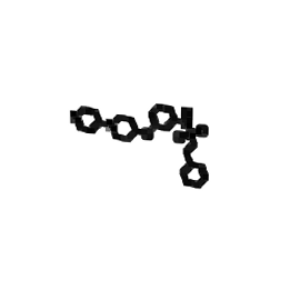 O=S(=O)(/C=C/c1ccccc1)Nc1cccc(OC2CCN(c3ccncc3)CC2)c1